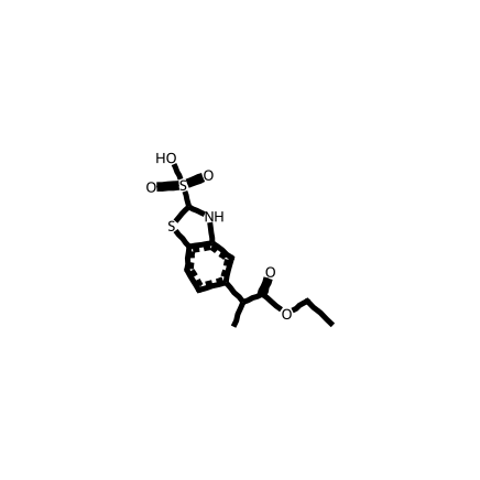 CCOC(=O)C(C)c1ccc2c(c1)NC(S(=O)(=O)O)S2